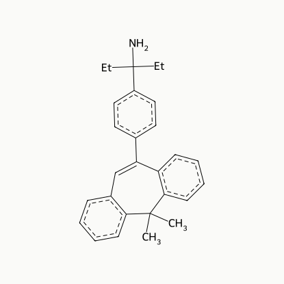 CCC(N)(CC)c1ccc(C2=Cc3ccccc3C(C)(C)c3ccccc32)cc1